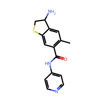 Cc1cc2c(cc1C(=O)Nc1ccncc1)SCC2N